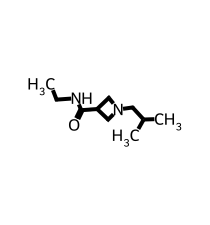 CCNC(=O)C1CN(CC(C)C)C1